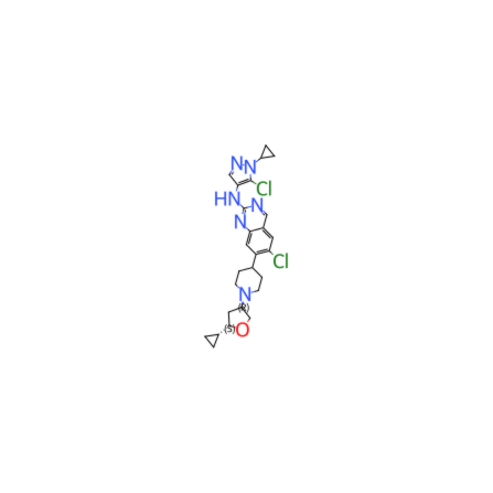 Clc1cc2cnc(Nc3cnn(C4CC4)c3Cl)nc2cc1C1CCN([C@H]2CO[C@H](C3CC3)C2)CC1